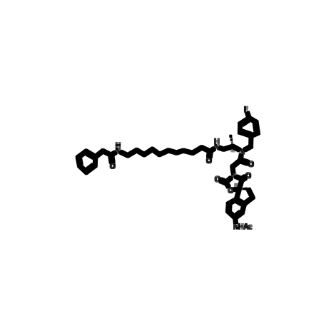 CC(=O)Nc1ccc2c(c1)CC[C@@]21OC(=O)N(CC(=O)N(Cc2ccc(F)cc2)[C@@H](C)CNC(=O)CCCCCCCCCCNC(=O)Cc2ccccc2)C1=O